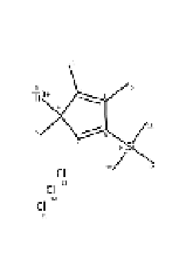 CC1=C(C)[C](C)([Ti+3])C=C1[Si](C)(C)C.[Cl-].[Cl-].[Cl-]